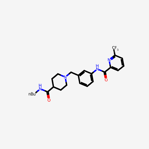 CCCCNC(=O)C1CCN(Cc2cccc(NC(=O)c3cccc(C(F)(F)F)n3)c2)CC1